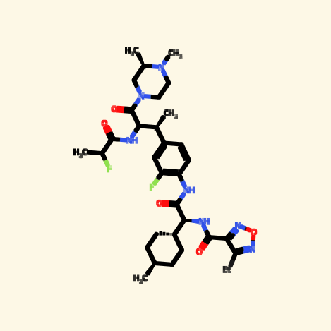 CCc1nonc1C(=O)N[C@H](C(=O)Nc1ccc([C@H](C)C(NC(=O)C(C)F)C(=O)N2CCN(C)[C@H](C)C2)cc1F)[C@H]1CC[C@H](C)CC1